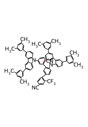 Cc1cc(C)cc(-c2ccc3c(c2)c2cc(-c4cc(C)cc(C)c4)ccc2n3-c2ccc(C#N)c(-c3cc(-c4ccc(C#N)cc4C(F)(F)F)ccc3-n3c4ccc(-c5cc(C)cc(C)c5)cc4c4cc(-c5cc(C)cc(C)c5)ccc43)c2)c1